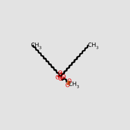 CCCCCCCCCC=CC=CC=CC=CC=CC=CC(=O)C1(C(=O)C=CC=CC=CC=CC=CC=CCCCCCCCCC)OCC(CCS(C)(=O)=O)O1